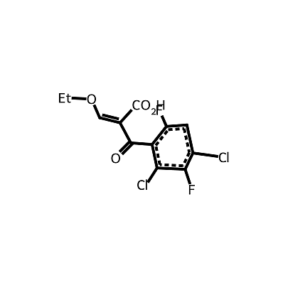 CCO/C=C(\C(=O)O)C(=O)c1c(F)cc(Cl)c(F)c1Cl